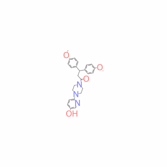 COc1ccc(C(CC(=O)N2CCN(c3ccc(O)cn3)CC2)c2ccc(OC)cc2)cc1